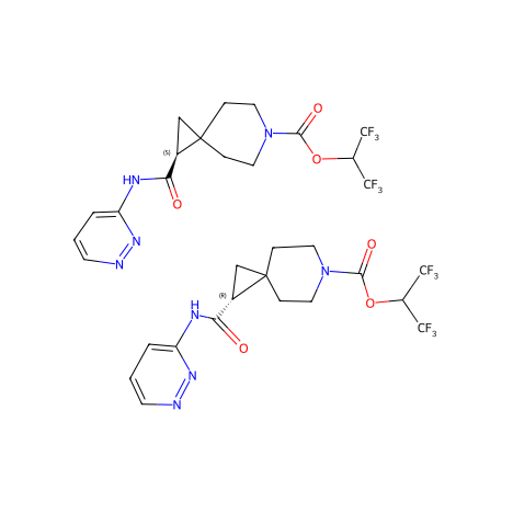 O=C(Nc1cccnn1)[C@@H]1CC12CCN(C(=O)OC(C(F)(F)F)C(F)(F)F)CC2.O=C(Nc1cccnn1)[C@H]1CC12CCN(C(=O)OC(C(F)(F)F)C(F)(F)F)CC2